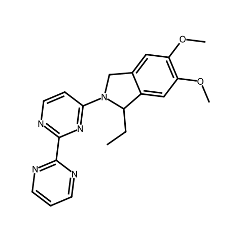 CCC1c2cc(OC)c(OC)cc2CN1c1ccnc(-c2ncccn2)n1